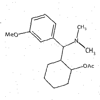 COc1cccc(C(C2CCCCC2OC(C)=O)N(C)C)c1